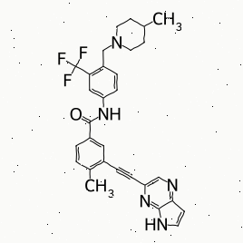 Cc1ccc(C(=O)Nc2ccc(CN3CCC(C)CC3)c(C(F)(F)F)c2)cc1C#Cc1cnc2cc[nH]c2n1